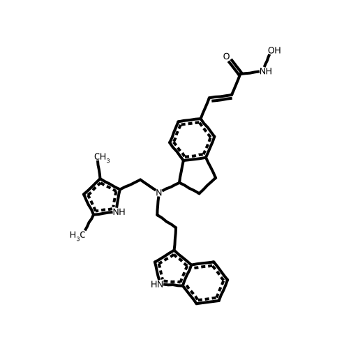 Cc1cc(C)c(CN(CCc2c[nH]c3ccccc23)C2CCc3cc(C=CC(=O)NO)ccc32)[nH]1